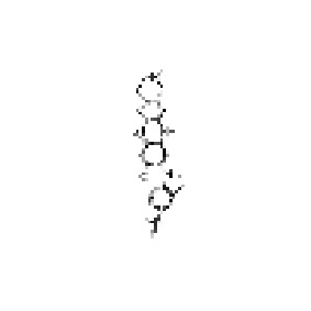 COc1cc2c(cc1Nc1ncc(Cl)c(N3CCc4cc(P(C)(C)=O)ccc43)n1)CN(C)CC2